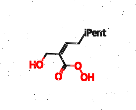 CCCC(C)CC=C(CO)C(=O)OO